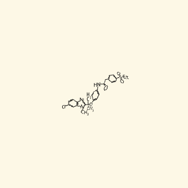 CCS(=O)(=O)c1ccc(CC(=O)Nc2ccc(OC(C)(C)c3nc4ccc(Cl)cc4n3C)cc2)cc1